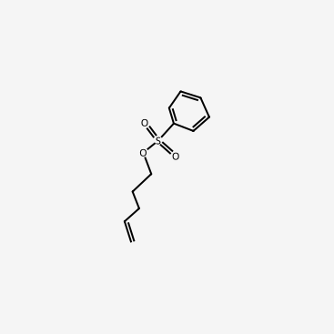 C=CCCCOS(=O)(=O)c1ccccc1